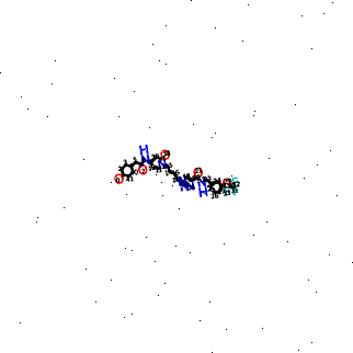 O=C1CCC(CC(=O)Nc2ccn(CCCCn3cc(C(=O)NCc4cccc(OC(F)(F)F)c4)nn3)c(=O)c2)CC1